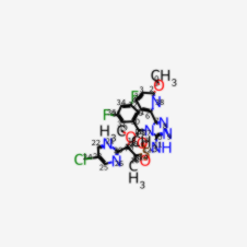 COc1cccc(-c2nnc(NS(=O)(=O)[C@@H](C)[C@H](OC)c3ncc(Cl)cn3)n2[C@@H](C)c2cc(F)cc(F)c2)n1